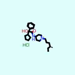 CC[C@H](C)CCCN1CCC(NC(=O)[C@](O)(c2ccccc2)C2CCCC2)CC1.Cl